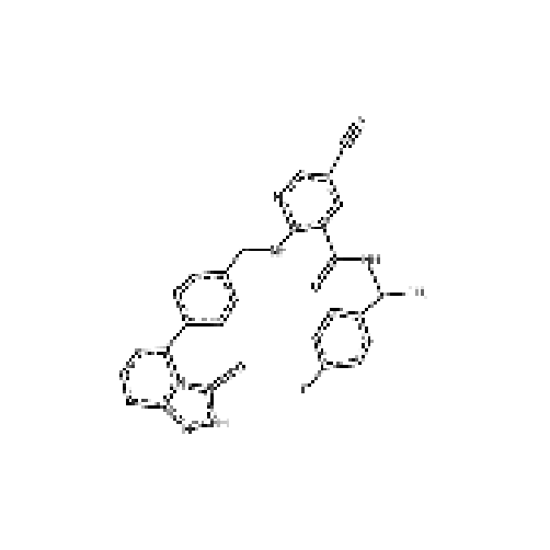 CC(NC(=O)c1cc(C#N)cnc1NCc1ccc(-c2cccc3n[nH]c(=O)n23)cc1)c1ccc(F)cc1